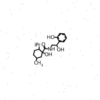 CC1CCC(C(C)C)C(O)(C(=O)NCC(O)c2ccccc2O)C1